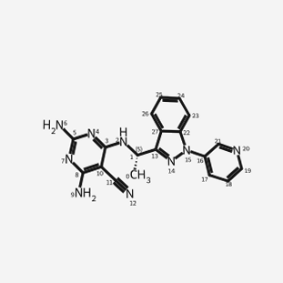 C[C@H](Nc1nc(N)nc(N)c1C#N)c1nn(-c2cccnc2)c2ccccc12